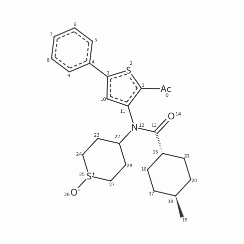 CC(=O)c1sc(-c2ccccc2)cc1N(C(=O)[C@H]1CC[C@H](C)CC1)C1CC[S+]([O-])CC1